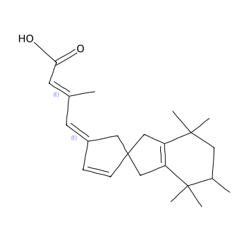 CC(=C\C(=O)O)/C=C1/C=CC2(CC3=C(C2)C(C)(C)C(C)CC3(C)C)C1